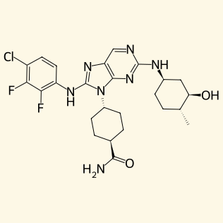 C[C@@H]1CC[C@@H](Nc2ncc3nc(Nc4ccc(Cl)c(F)c4F)n([C@H]4CC[C@H](C(N)=O)CC4)c3n2)C[C@H]1O